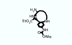 CCOC(=O)c1[nH]c2nc1-c1ccc(NC(=O)OC)cc1NCCCCCC2N